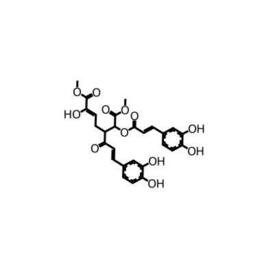 COC(=O)C(O)=CCC(C(=O)C=Cc1ccc(O)c(O)c1)C(OC(=O)C=Cc1ccc(O)c(O)c1)C(=O)OC